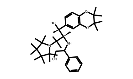 CC1(C)Oc2ccc([C@@](C)(O)[C@](C)(NC(CO)c3ccccc3)C(C)(C)N3C(C)(C)C(C)(C)C(C)(C)C3(C)C)cc2OC1(C)C